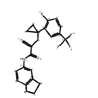 O=C(CC1(c2cc(C(F)(F)F)ccc2F)CC1)C(=O)Nc1ccc2c(c1)CCC2